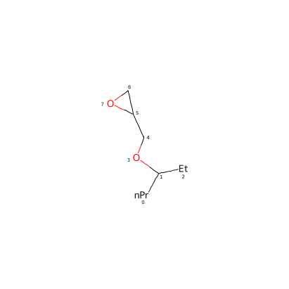 [CH2]CCC(CC)OCC1CO1